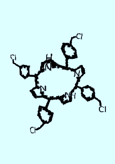 ClCc1ccc(-c2c3nc(c(-c4ccc(CCl)cc4)c4ccc([nH]4)c(-c4ccc(CCl)cc4)c4nc(c(-c5ccc(CCl)cc5)c5ccc2[nH]5)C=C4)C=C3)cc1